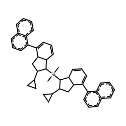 C[Si](C)(C1C2C=CC=C(c3cccc4ccccc34)C2CC1C1CC1)C1C2C=CC=C(c3cccc4ccccc34)C2CC1C1CC1